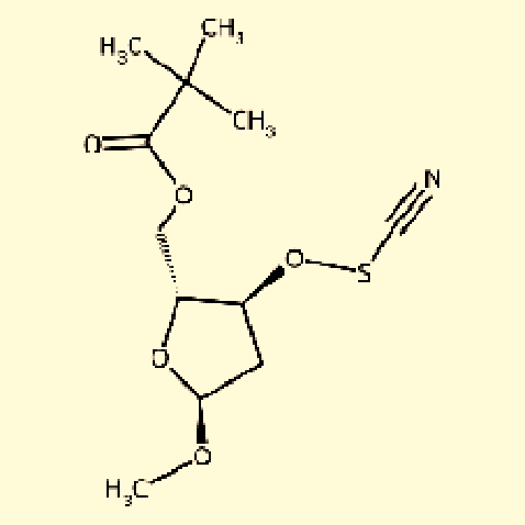 CO[C@@H]1C[C@H](OSC#N)[C@@H](COC(=O)C(C)(C)C)O1